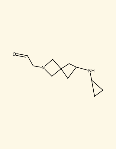 O=CCN1CC2(CC(NC3CC3)C2)C1